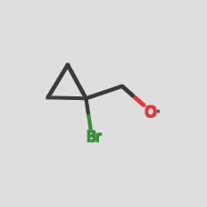 [O]CC1(Br)CC1